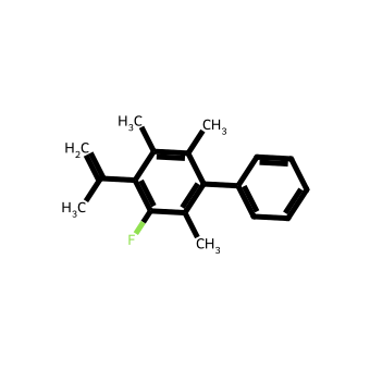 C=C(C)c1c(C)c(C)c(-c2ccccc2)c(C)c1F